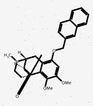 COc1cc(OCc2ccc3ccccc3c2)c2c(c1OC)[C@]13CCN(C)[C@H](C2)[C@@H]1CCC(=O)C3